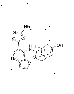 Nc1nnc(-c2cnn3cccc3c2NC2[C@@H]3CC4C[C@H]2CC(O)(C4)C3)s1